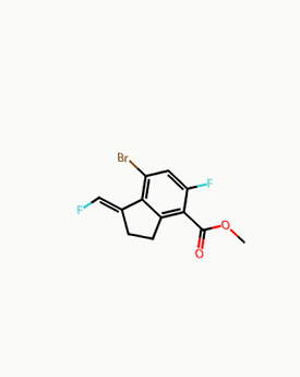 COC(=O)c1c(F)cc(Br)c2c1CCC2=CF